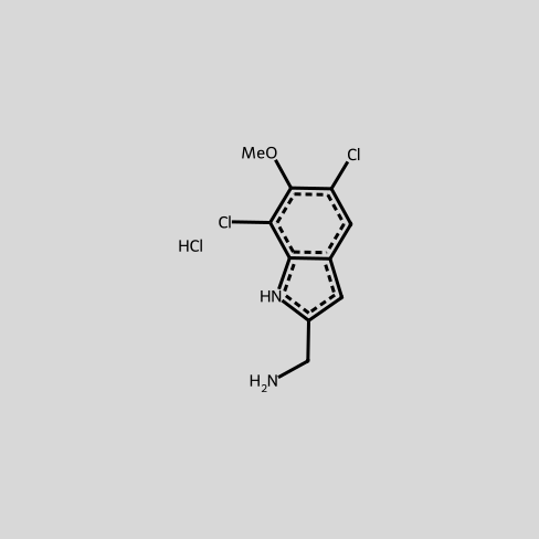 COc1c(Cl)cc2cc(CN)[nH]c2c1Cl.Cl